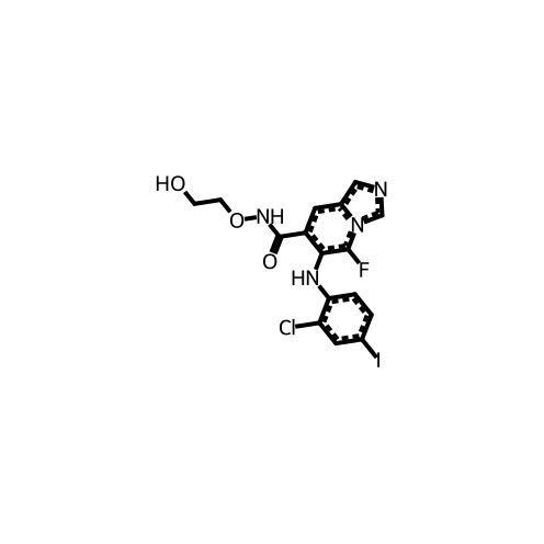 O=C(NOCCO)c1cc2cncn2c(F)c1Nc1ccc(I)cc1Cl